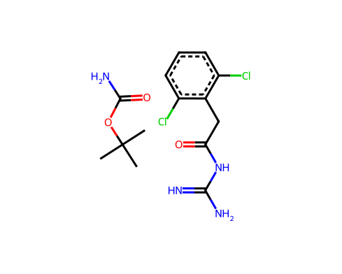 CC(C)(C)OC(N)=O.N=C(N)NC(=O)Cc1c(Cl)cccc1Cl